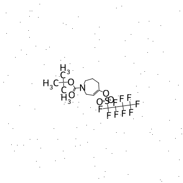 CC(C)(C)OC(=O)N1CC=C(OS(=O)(=O)C(F)(F)C(F)(F)C(F)(F)C(F)(F)F)CCC1